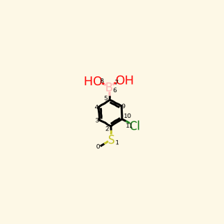 CSc1ccc(B(O)O)cc1Cl